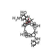 CC(C)(C)[Si](C)(C)O[C@H]1[C@H]2O[P@](=O)(S)OC[C@H]3C[C@@H](Nc4ncncc4F)C[C@@H]3O[P@@](=O)(S)OC[C@H]1O[C@H]2n1cnc2c(=O)[nH]c(N)nc21